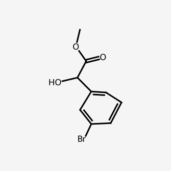 COC(=O)C(O)c1cccc(Br)c1